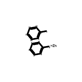 Cc1ccccc1.Cc1ccccc1.[Zn]